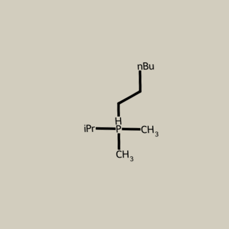 CCCCCC[PH](C)(C)C(C)C